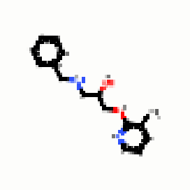 Cc1cccnc1OCC(O)CNCc1ccccc1